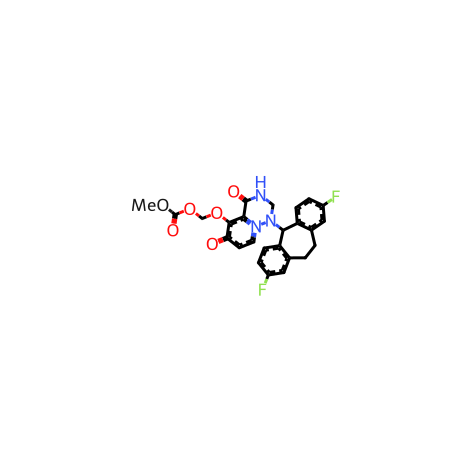 COC(=O)OCOc1c2n(ccc1=O)N(C1c3ccc(F)cc3CCc3cc(F)ccc31)CNC2=O